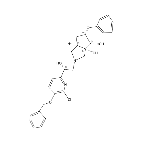 O[C@H](CN1C[C@H]2C[C@H](Oc3ccccc3)[C@H](O)[C@@]2(O)C1)c1ccc(OCc2ccccc2)c(Cl)n1